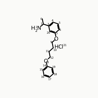 CC(N)c1cccc(OCCCCOc2ccccc2)c1.Cl